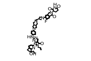 C=CCn1c(=O)c2cnc(Nc3ccc(N4CC5CN(CC6CN(c7cc8c(cc7F)C(=O)N(C7CCC(=O)NC7=O)C8)C6)CC5C4)cc3)nc2n1-c1ccc2c(n1)[C@@](O)(CC)CC2